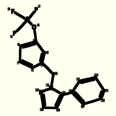 FC(F)(F)Oc1cccc(Cn2nccc2-c2ccccc2)c1